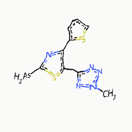 Cn1nnc(-c2sc([AsH2])nc2-c2cccs2)n1